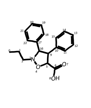 CCCN1OC(C(=O)O)C(c2ccccc2)C1c1ccccc1